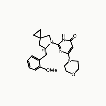 COc1ccccc1C[C@H]1CC2(CC2)CN1c1nc(N2CCOCC2)cc(=O)[nH]1